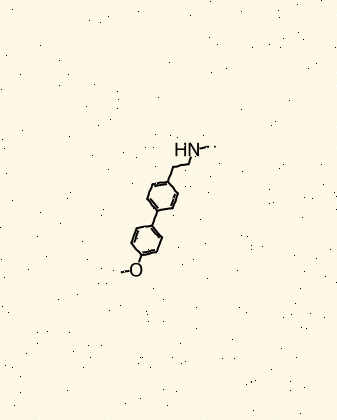 [CH2]NCCc1ccc(-c2ccc(OC)cc2)cc1